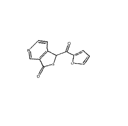 O=C1SC(C(=O)c2ccco2)c2ccncc21